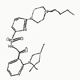 CCCCN1CCN(c2cccc(S(=O)(=O)NC(=O)c3cccnc3N3CC(C)CC3(C)C)n2)CC1